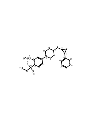 COc1cc(N2CCC(CC3CC3c3ccccc3)CC2)ccc1C(F)(F)CF